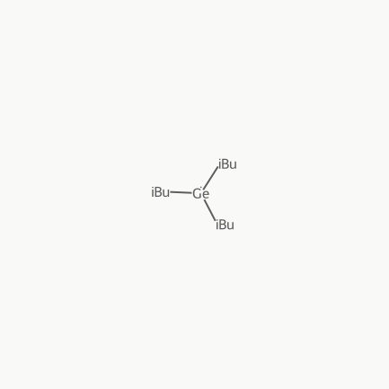 CC[CH](C)[Ge]([CH](C)CC)[CH](C)CC